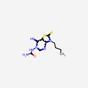 CCCCn1c(=S)sc2c(=N)n(NC(N)=O)cnc21